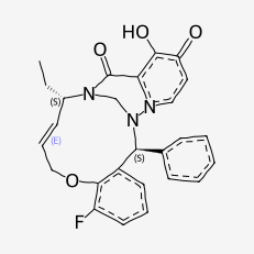 CC[C@H]1/C=C/COc2c(F)cccc2[C@H](c2ccccc2)N2CN1C(=O)c1c(O)c(=O)ccn12